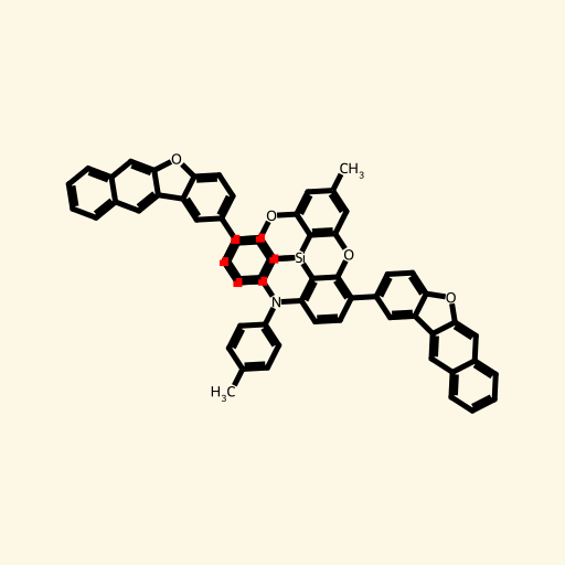 Cc1ccc(N2c3ccc(-c4ccc5oc6cc7ccccc7cc6c5c4)c4c3[Si]3(c5ccccc5)c5c(cc(C)cc5Oc5c(-c6ccc7oc8cc9ccccc9cc8c7c6)ccc2c53)O4)cc1